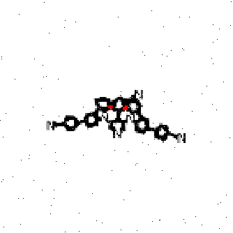 N#Cc1ccc(-c2ccc3c(c2)c2ccccc2n3-c2cncc(-n3c4ccccc4c4cc(-c5ccc(C#N)cc5)ccc43)c2-c2cccc(C#N)c2)cc1